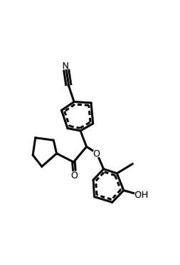 Cc1c(O)cccc1OC(C(=O)C1CCCC1)c1ccc(C#N)cc1